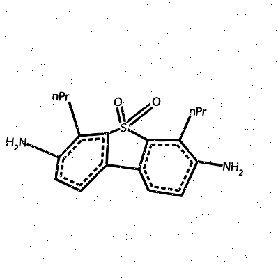 CCCc1c(N)ccc2c1S(=O)(=O)c1c-2ccc(N)c1CCC